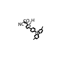 Cc1ccc2c3ccc(C)cc3n(-c3ccc(-c4ccc(/C=C(\C#N)C(=O)O)s4)cc3)c2c1